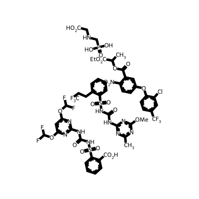 CCOC(=O)C(C)OC(=O)c1cc(Oc2ccc(C(F)(F)F)cc2Cl)ccc1[N+](=O)[O-].COc1nc(C)nc(NC(=O)NS(=O)(=O)c2ccccc2CCC(F)(F)F)n1.O=C(Nc1nc(OC(F)F)cc(OC(F)F)n1)NS(=O)(=O)c1ccccc1C(=O)O.O=C(O)CNCP(=O)(O)O